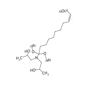 CCCCCCCC/C=C\CCCCCCCC(OCCC)(OCCC)N(CC(C)O)CC(C)O